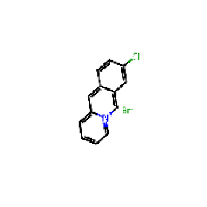 Clc1ccc2cc3cccc[n+]3cc2c1.[Br-]